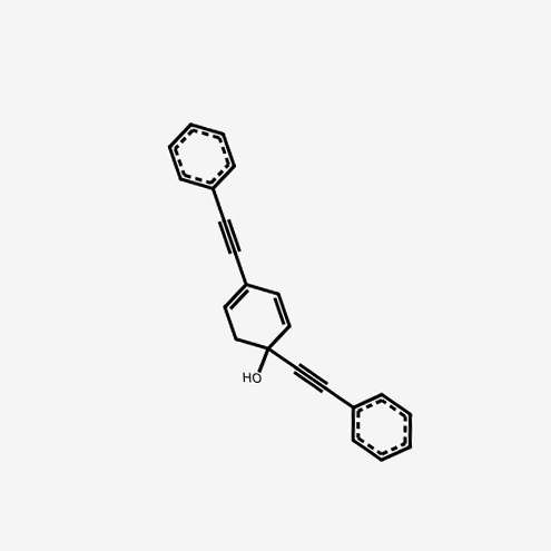 OC1(C#Cc2ccccc2)C=CC(C#Cc2ccccc2)=CC1